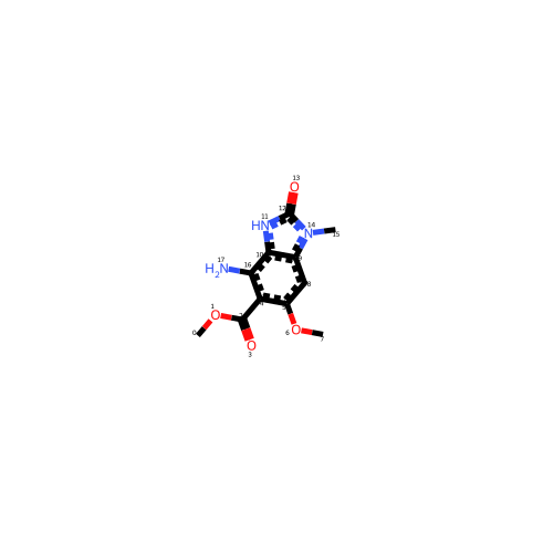 COC(=O)c1c(OC)cc2c([nH]c(=O)n2C)c1N